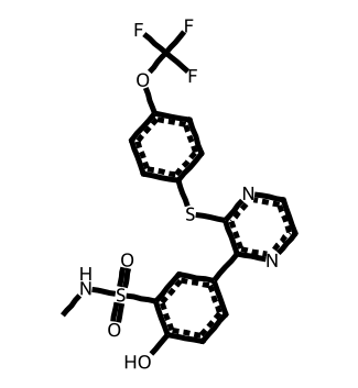 CNS(=O)(=O)c1cc(-c2nccnc2Sc2ccc(OC(F)(F)F)cc2)ccc1O